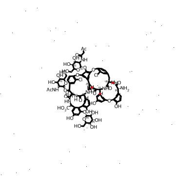 CC(=O)CC(=O)NC1[C@H](Oc2c3cc4cc2Oc2ccc(cc2Cl)[C@@H](O[C@@H]2OC(CO)[C@@H](O)C(O)[C@@H]2NC(C)=O)[C@@H]2NC(=O)[C@H](NC(=O)[C@@H]4NC(=O)[C@H]4NC(=O)[C@@H](Cc5ccc(c(Cl)c5)O3)NC(=O)[C@H](N)c3ccc(O)c(c3)Oc3cc(O)cc4c3)c3ccc(O)c(c3)-c3c(O[C@H]4OC(CO)[C@@H](O)[C@@H](O)C4O)cc(O)cc3[C@@H](C(=O)O)NC2=O)OC(CO)[C@@H](O)[C@@H]1O